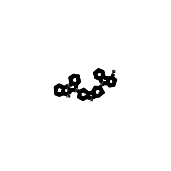 Fc1cccc2c1c1ccccc1n2-c1ccc2sc3ccc(-n4c5ccccc5n5c6ccccc6nc45)cc3c2c1